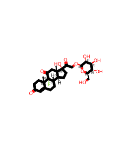 C[C@]12CCC(=O)C=C1CC[C@H]1[C@@H]3CC[C@](O)(C(=O)CO[C@@H]4O[C@H](CO)[C@@H](O)[C@H](O)[C@H]4O)[C@@]3(C)CC(=O)[C@@]12F